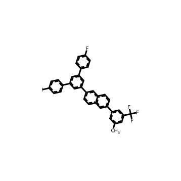 Cc1cc(-c2ccc3cc(-c4cc(-c5ccc(F)cc5)cc(-c5ccc(I)cc5)c4)ccc3c2)cc(C(F)(F)F)c1